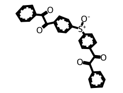 O=C(C(=O)c1ccc([S+]([O-])c2ccc(C(=O)C(=O)c3ccccc3)cc2)cc1)c1ccccc1